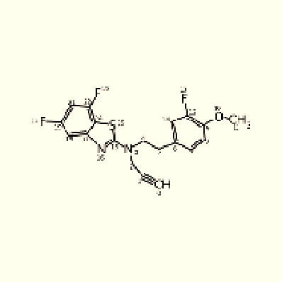 C#CCN(CCc1ccc(OC)c(F)c1)c1nc2cc(F)cc(F)c2s1